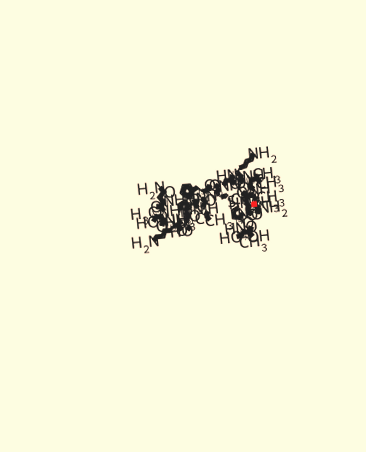 CSCC[C@H](NC(=O)[C@H](Cc1ccccc1)NC(=O)[C@H](CC(C)C)NC(=O)[C@@H]1CCCN1C(=O)[C@H](CO)NC(=O)[C@H](CCCCN)NC(=O)[C@@H](NC(=O)[C@@H](N)CC(N)=O)[C@@H](C)O)C(=O)NCC(=O)N[C@@H](CCCCN)C(=O)N[C@H](C(=O)N[C@H](C(=O)N[C@@H](CC(N)=O)C(=O)N1CCC[C@H]1C(=O)N[C@H](C(=O)O)[C@@H](C)O)C(C)C)C(C)C